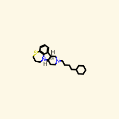 c1cc2c3c(c1)[C@H]1CN(CCCCC4CCCCC4)CC[C@H]1N3CCCS2